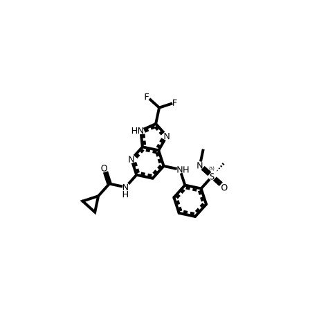 CN=[S@@](C)(=O)c1ccccc1Nc1cc(NC(=O)C2CC2)nc2[nH]c(C(F)F)nc12